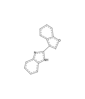 [c]1oc2ccccc2c1-c1nc2ccccc2[nH]1